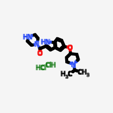 CC(C)N1CCC(Oc2ccc3[nH]c(C(=O)N4CCNCC4)cc3c2)CC1.Cl.Cl